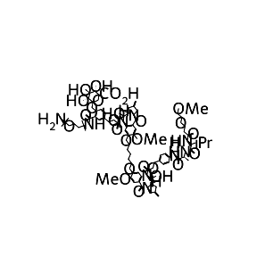 C=C1C[C@H]2C(O)N(C(=O)OCc3ccc(NC(=O)[C@H](C)NC(=O)C(NC(=O)CCOCCOC)C(C)C)cc3)c3cc(OCCCCCOc4cc5c(cc4OC)C(=O)N4CC(=C)C[C@H]4C(O)N5C(=O)OCc4ccc(O[C@@H]5O[C@H](C(=O)O)[C@@H](O)[C@H](O)[C@H]5O)c(C(=O)NC(C)(C)CCOC(C)(C)N)c4)c(OC)cc3C(=O)N2C1